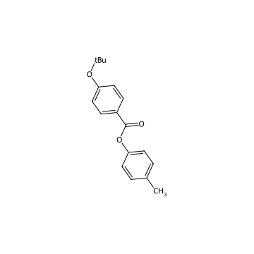 Cc1ccc(OC(=O)c2ccc(OC(C)(C)C)cc2)cc1